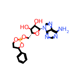 Nc1ncnc2c1ncn2[C@@H]1O[C@H](COP2OCCC(c3ccccc3)O2)[C@@H](O)[C@H]1O